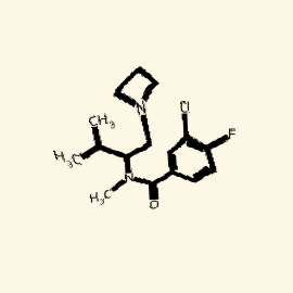 CC(C)C(CN1CCC1)N(C)C(=O)c1ccc(F)c(Cl)c1